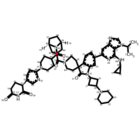 CC(C)n1cnc2cc(-c3ccc4c(c3)N(C3CC(N5CCCCC5)C3)C(=O)C43CCN(C(=O)C4C[C@H]5CC[C@@H](C4)N5C(=O)C4CCN(c5ccc([C@@H]6CCC(=O)NC6=O)cn5)CC4)CC3)nc(NC3CC3)c21